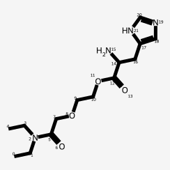 CCN(CC)C(=O)COCCOC(=O)C(N)Cc1cnc[nH]1